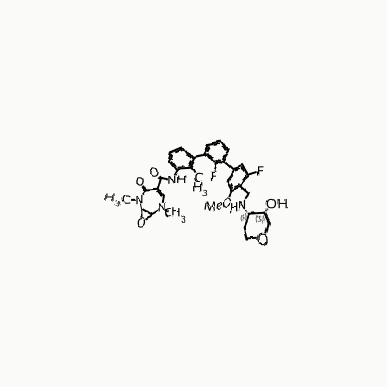 COc1cc(-c2cccc(-c3cccc(NC(=O)C4=CN(C)C5OC5N(C)C4=O)c3C)c2F)cc(F)c1CN[C@H]1CCOC[C@H]1O